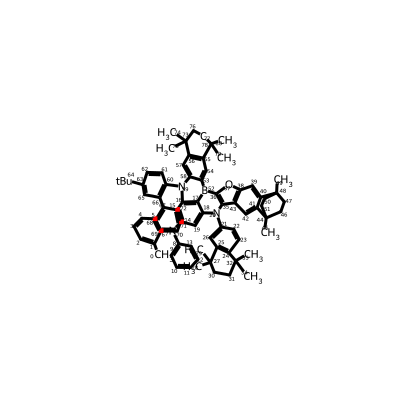 Cc1ccccc1N(c1ccccc1)c1cc2c3c(c1)N(c1ccc4c(c1)C(C)(C)CCC4(C)C)c1c(oc4cc5c(cc14)C1(C)CCC5(C)CC1)B3c1cc3c(cc1N2c1ccc(C(C)(C)C)cc1-c1ccccc1)C(C)(C)CCC3(C)C